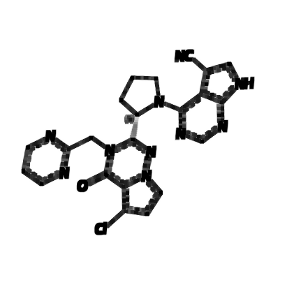 N#Cc1c[nH]c2ncnc(N3CCC[C@H]3c3nn4ccc(Cl)c4c(=O)n3Cc3ncccn3)c12